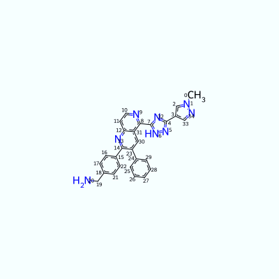 Cn1cc(-c2n[nH]c(-c3nccc4nc(-c5ccc(CN)cc5)c(-c5ccccc5)cc34)n2)cn1